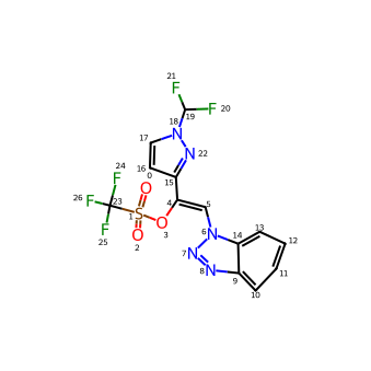 O=S(=O)(OC(=Cn1nnc2ccccc21)c1ccn(C(F)F)n1)C(F)(F)F